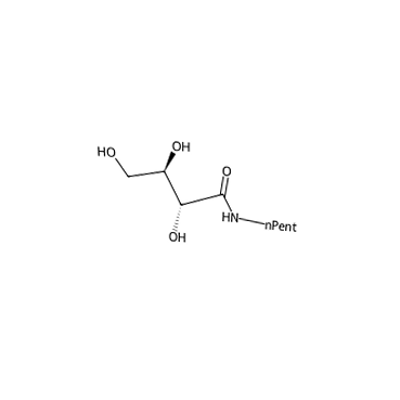 CCCCCNC(=O)[C@H](O)[C@H](O)CO